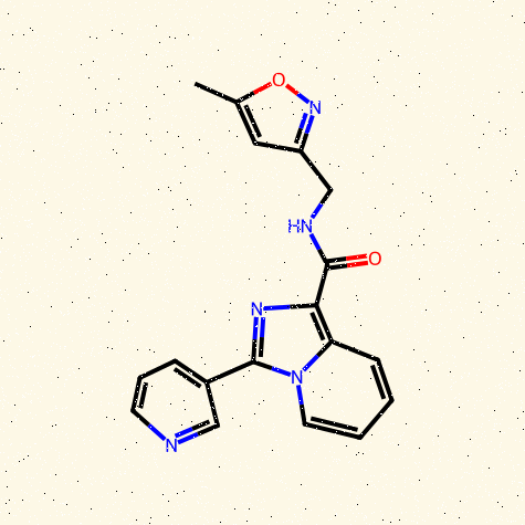 Cc1cc(CNC(=O)c2nc(-c3cccnc3)n3ccccc23)no1